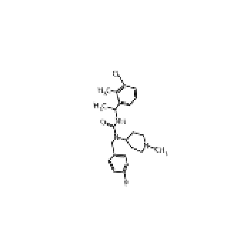 Cc1c(Cl)cccc1C(C)NC(=O)N(Cc1ccc(F)cc1)C1CCN(C)CC1